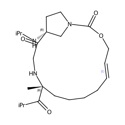 CC(C)N[C@]12CCN(C1)C(=O)OC/C=C/CCCC[C@](C)(C(=O)C(C)C)NCC2=O